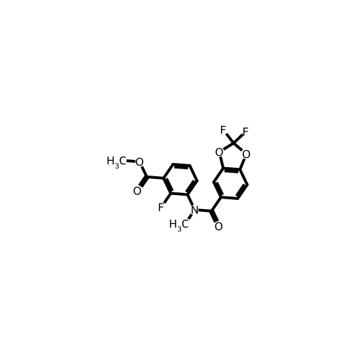 COC(=O)c1cccc(N(C)C(=O)c2ccc3c(c2)OC(F)(F)O3)c1F